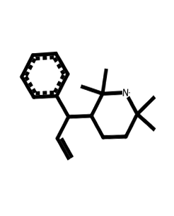 C=CC(c1ccccc1)C1CCC(C)(C)[N]C1(C)C